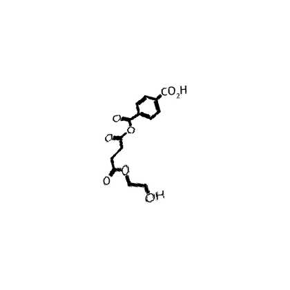 O=C(CCC(=O)OC(=O)c1ccc(C(=O)O)cc1)OCCO